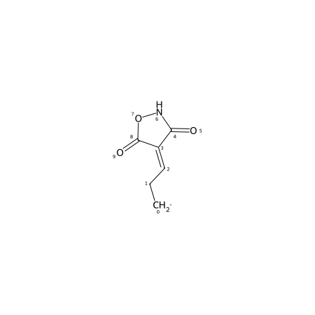 [CH2]CC=C1C(=O)NOC1=O